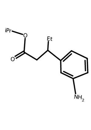 CCC(CC(=O)OC(C)C)c1cccc(N)c1